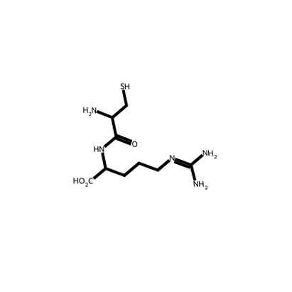 NC(N)=NCCCC(NC(=O)C(N)CS)C(=O)O